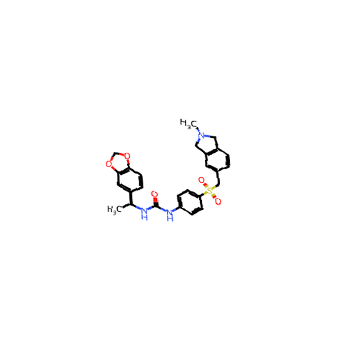 CC(NC(=O)Nc1ccc(S(=O)(=O)Cc2ccc3c(c2)CN(C)C3)cc1)c1ccc2c(c1)OCO2